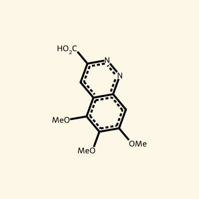 COc1cc2nnc(C(=O)O)cc2c(OC)c1OC